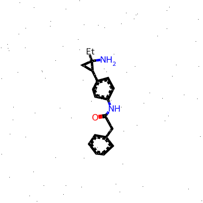 CCC1(N)CC1c1ccc(NC(=O)Cc2ccccc2)cc1